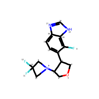 Fc1c(C2COCC2N2CC(F)(F)C2)ccc2nc[nH]c12